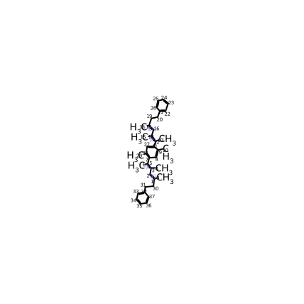 C/C(=C\C(C)=C(/C)c1cc(C)c(/C(C)=C(C)/C=C(\C)CCc2ccccc2)cc1C)CCc1ccccc1